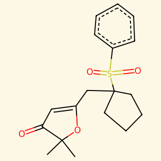 CC1(C)OC(CC2(S(=O)(=O)c3ccccc3)CCCC2)=CC1=O